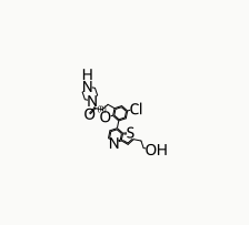 O=C([C@H]1Cc2cc(Cl)cc(-c3ccnc4cc(CCO)sc34)c2O1)N1CCNCC1